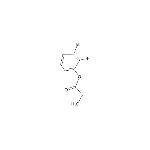 CCC(=O)Oc1cccc(Br)c1F